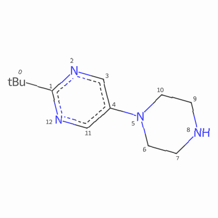 CC(C)(C)c1ncc(N2CCNCC2)cn1